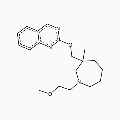 COCCN1CCCCC(C)(COc2ncc3ccccc3n2)C1